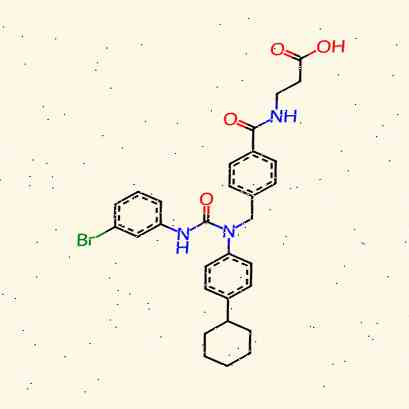 O=C(O)CCNC(=O)c1ccc(CN(C(=O)Nc2cccc(Br)c2)c2ccc(C3CCCCC3)cc2)cc1